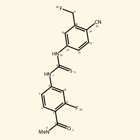 CNC(=O)c1ccc(NC(=S)Nc2ccc(C#N)c(CF)c2)cc1F